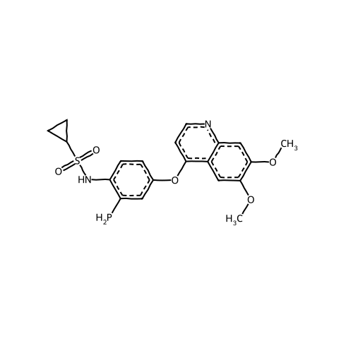 COc1cc2nccc(Oc3ccc(NS(=O)(=O)C4CC4)c(P)c3)c2cc1OC